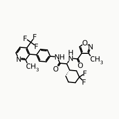 Cc1nocc1C(=O)N[C@H](C(=O)Nc1ccc(-c2c(C(F)(F)F)ccnc2C)cc1)[C@H]1CCCC(F)(F)C1